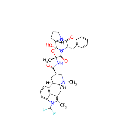 CN1C[C@H](C(=O)N[C@]2(C)O[C@@]3(O)[C@@H]4CCCN4C(=O)[C@H](Cc4ccccc4)N3C2=O)C[C@@H]2c3cccc4c3c(c(C(F)(F)F)n4C(F)F)C[C@H]21